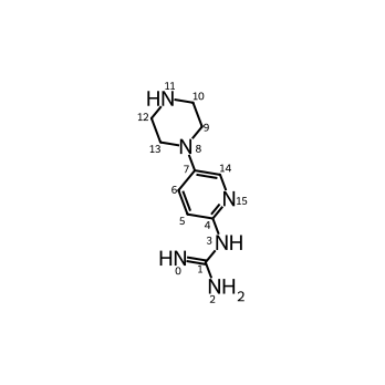 N=C(N)Nc1ccc(N2CCNCC2)cn1